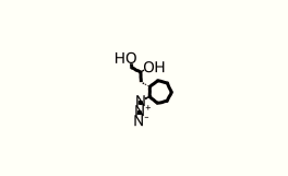 [N-]=[N+]=N[C@@H]1CCCCC[C@H]1C[C@@H](O)CO